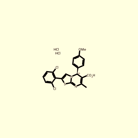 COc1ccc([C@H]2C(C(=O)O)=C(C)N=C3SC(c4c(Cl)cccc4Cl)=CN32)cc1.Cl.Cl